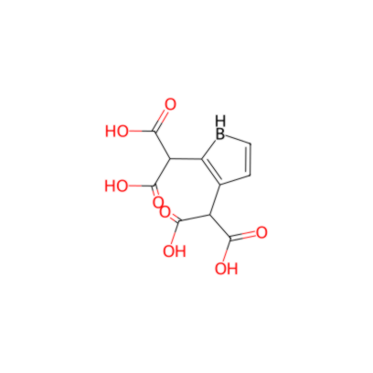 O=C(O)C(C(=O)O)C1=C(C(C(=O)O)C(=O)O)C=CB1